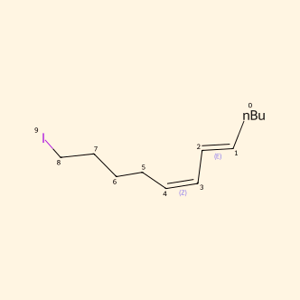 CCCC/C=C/C=C\CCCCI